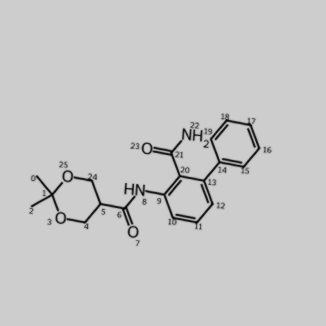 CC1(C)OCC(C(=O)Nc2cccc(-c3ccccc3)c2C(N)=O)CO1